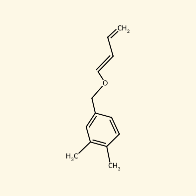 C=CC=COCc1ccc(C)c(C)c1